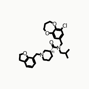 CC(C)CN(Cc1cc(Cl)c2c(c1)OCCCO2)C(=O)[C@@H]1CCCN(Cc2cccc3c2OCC3)C1